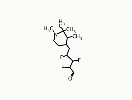 CC1C(CC(F)C(F)C(F)C=O)CCN(C)C1(C)C